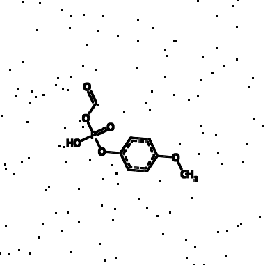 COc1ccc(OP(=O)(O)OC=O)cc1